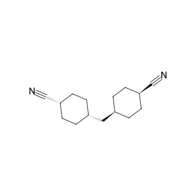 N#C[C@H]1CC[C@@H](C[C@H]2CC[C@@H](C#N)CC2)CC1